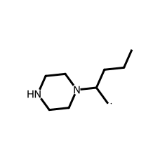 [CH2]C(CCC)N1CCNCC1